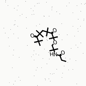 CCC(=O)NC(C)(C)COC(C)(C)C(=O)C(C)(C)CC(C)(C)C(=O)C(C)(C)C